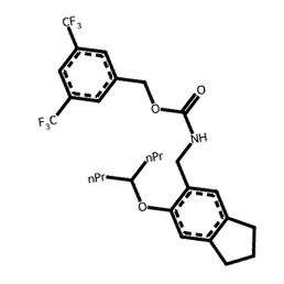 CCCC(CCC)Oc1cc2c(cc1CNC(=O)OCc1cc(C(F)(F)F)cc(C(F)(F)F)c1)CCC2